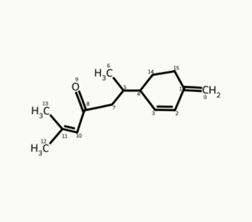 C=C1C=CC(C(C)CC(=O)C=C(C)C)CC1